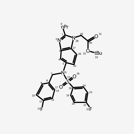 CCCc1nc2cc(N(Cc3ccc(F)cc3)S(=O)(=O)c3ccc(F)cc3)ccc2n1CC(=O)OC(C)(C)C